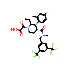 CCC1[C@@H](c2ccc(F)cc2C)[C@H](C(=O)N(C)Cc2cc(C(F)(F)F)cc(C(F)(F)F)c2)CCN1C(=O)C(=O)O